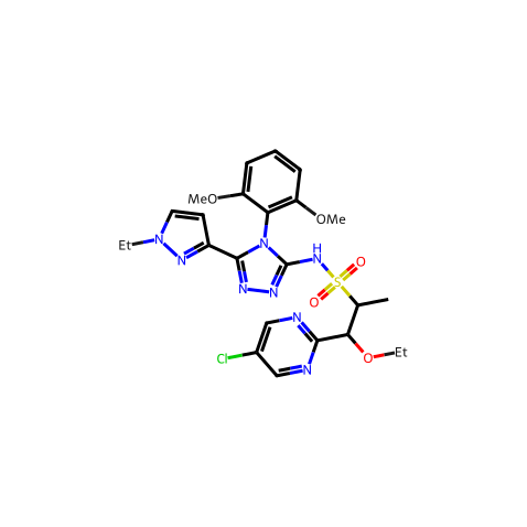 CCOC(c1ncc(Cl)cn1)C(C)S(=O)(=O)Nc1nnc(-c2ccn(CC)n2)n1-c1c(OC)cccc1OC